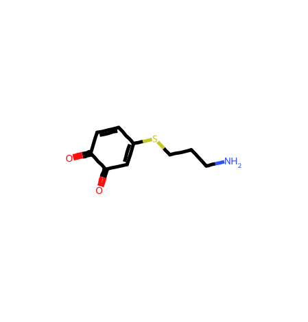 NCCCSC1=CC(=O)C(=O)C=C1